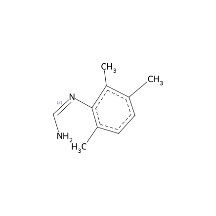 Cc1ccc(C)c(/N=C\N)c1C